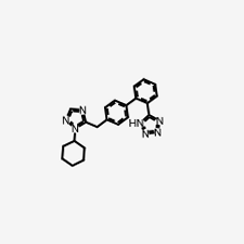 c1ccc(-c2nnn[nH]2)c(-c2ccc(Cc3ncnn3C3CCCCC3)cc2)c1